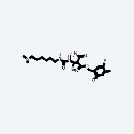 Cc1cc(Cl)c(COc2nsc(NC(=O)NCCCCCCN(C)C)c2C(N)=O)cc1F